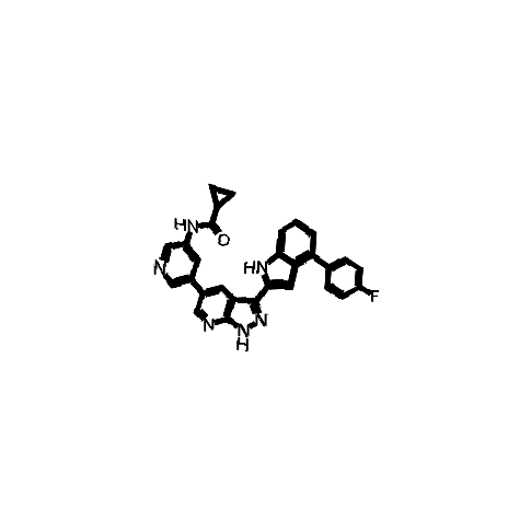 O=C(Nc1cncc(-c2cnc3[nH]nc(-c4cc5c(-c6ccc(F)cc6)cccc5[nH]4)c3c2)c1)C1CC1